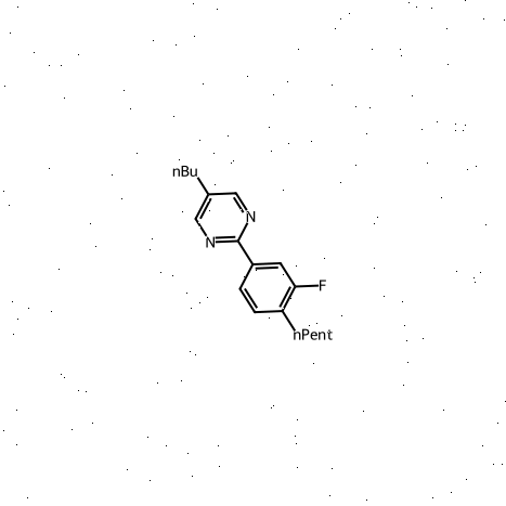 CCCCCc1ccc(-c2ncc(CCCC)cn2)cc1F